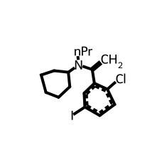 C=C(c1cc(I)ccc1Cl)N(CCC)C1CCCCC1